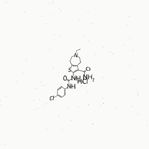 CCN1CCc2sc(NC(=O)Nc3ccc(Cl)cc3)c(C(N)=O)c2CC1.Cl